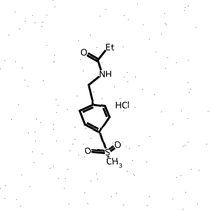 CCC(=O)NCc1ccc(S(C)(=O)=O)cc1.Cl